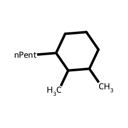 CC[CH]CCC1CCCC(C)C1C